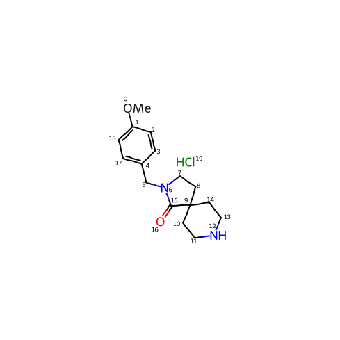 COc1ccc(CN2CCC3(CCNCC3)C2=O)cc1.Cl